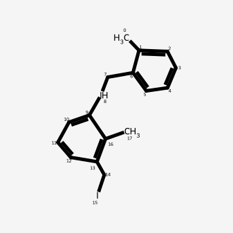 Cc1ccccc1C[IH]c1cccc(CI)c1C